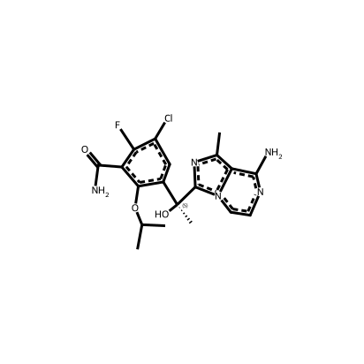 Cc1nc([C@@](C)(O)c2cc(Cl)c(F)c(C(N)=O)c2OC(C)C)n2ccnc(N)c12